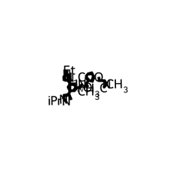 CCn1ccc(-c2cc(-c3cnn(C(C)C)c3)cc([C@@H](C)NC(=O)c3cc(OCCN(C)C)ccc3C)c2)n1